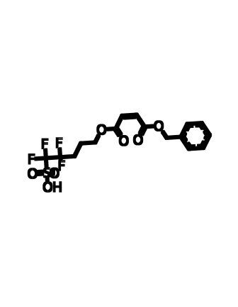 O=C(/C=C\C(=O)OCc1ccccc1)OCCCC(F)(F)C(F)(F)S(=O)(=O)O